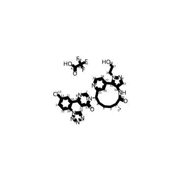 C[C@@H]1CCC[C@H](n2cnc(-c3cc(Cl)ccc3-n3cnnn3)cc2=O)c2cc(ccn2)-c2c(cnn2CCO)NC1=O.O=C(O)C(F)(F)F